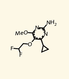 COc1nc(N)nc(C2CC2)c1OCC(F)F